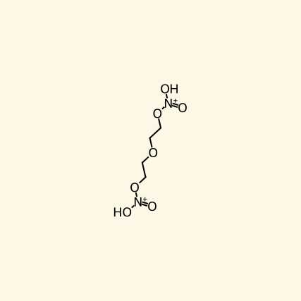 O=[N+](O)OCCOCCO[N+](=O)O